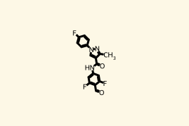 Cc1nn(-c2ccc(F)cc2)cc1C(=O)Nc1cc(F)c(C=O)c(F)c1